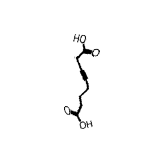 O=C(O)[CH]C#CCCCC(=O)O